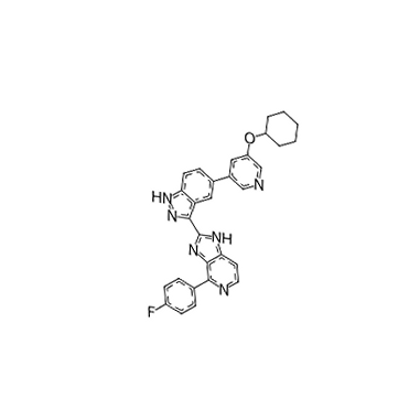 Fc1ccc(-c2nccc3[nH]c(-c4n[nH]c5ccc(-c6cncc(OC7CCCCC7)c6)cc45)nc23)cc1